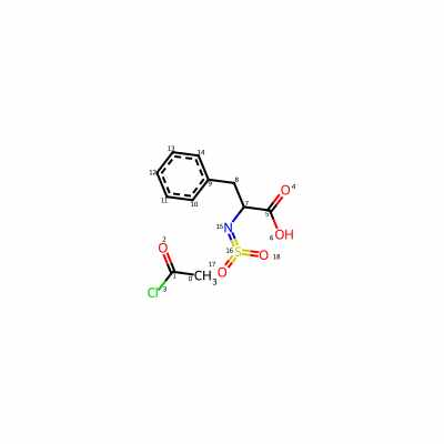 CC(=O)Cl.O=C(O)C(Cc1ccccc1)N=S(=O)=O